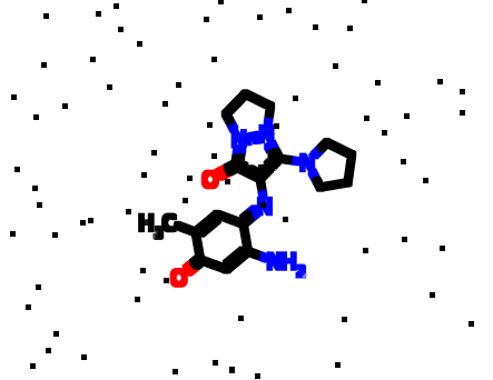 CC1=CC(=Nc2c(N3CCCC3)n3n(c2=O)CCC3)C(N)=CC1=O